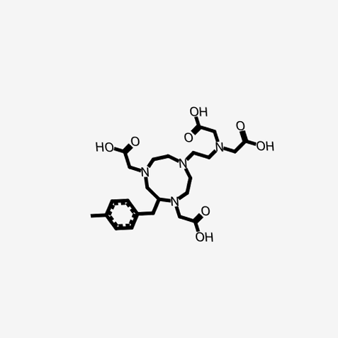 Cc1ccc(CC2CN(CC(=O)O)CCN(CCN(CC(=O)O)CC(=O)O)CCN2CC(=O)O)cc1